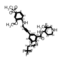 COc1cc(S(C)(=O)=O)ccc1NCC#Cc1cc(C(=O)NC2CCNCC2(C)F)c2ncn(CC(F)(F)F)c2c1